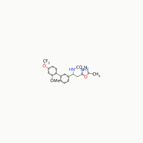 COc1cc(OC(F)(F)F)ccc1-c1cccc(C(Cc2nnc(C)o2)NC(=O)O)c1